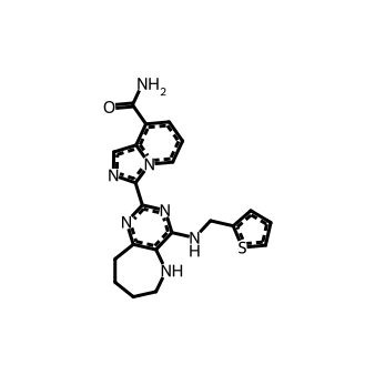 NC(=O)c1cccn2c(-c3nc4c(c(NCc5cccs5)n3)NCCCC4)ncc12